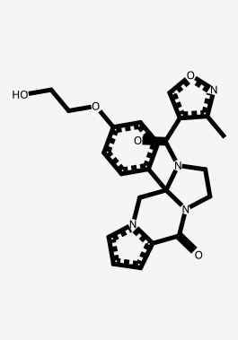 Cc1nocc1C(=O)N1CCN2C(=O)c3cccn3CC12c1ccc(OCCO)cc1